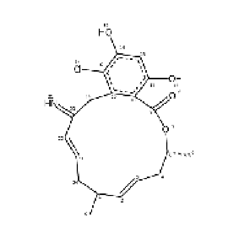 CC1/C=C/C[C@@H](C)OC(=O)c2c(O)cc(O)c(Cl)c2CC(=N)/C=C/C1